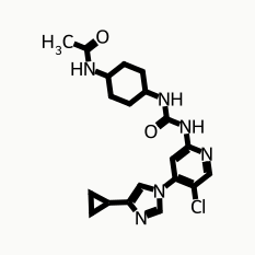 CC(=O)NC1CCC(NC(=O)Nc2cc(-n3cnc(C4CC4)c3)c(Cl)cn2)CC1